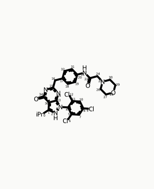 CC(C)c1[nH]n(-c2c(Cl)cc(Cl)cc2Cl)c2nc(Cc3ccc(NC(=O)CN4CCOCC4)cc3)nc(=O)c1-2